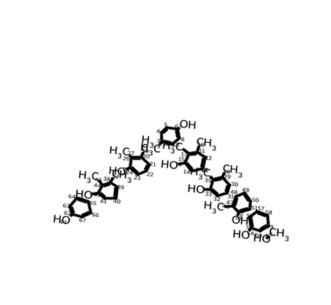 CO.Cc1ccc(O)cc1.Cc1cccc(O)c1C.Cc1cccc(O)c1C.Cc1cccc(O)c1C.Cc1cccc(O)c1C.Cc1ccccc1O.Oc1ccccc1.Oc1ccccc1